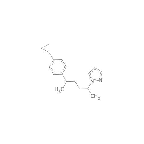 CC(CCC(C)n1cccn1)c1ccc(C2CC2)cc1